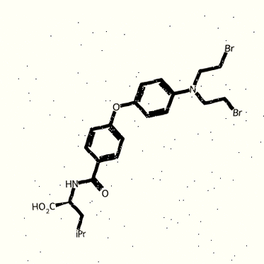 CC(C)C[C@H](NC(=O)c1ccc(Oc2ccc(N(CCBr)CCBr)cc2)cc1)C(=O)O